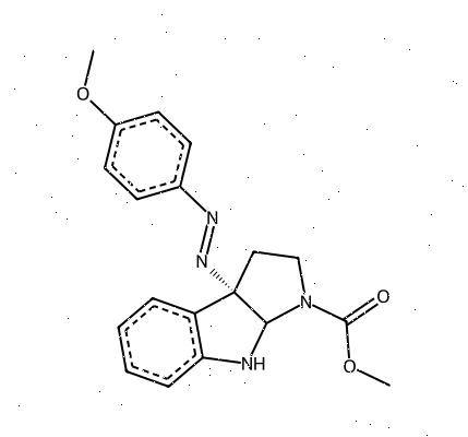 COC(=O)N1CC[C@]2(/N=N/c3ccc(OC)cc3)c3ccccc3NC12